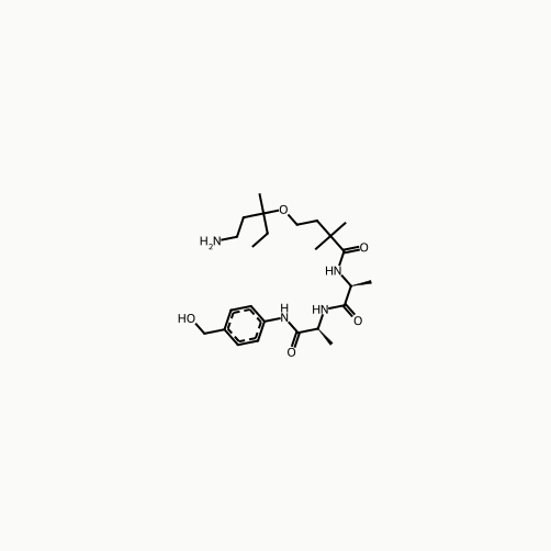 CCC(C)(CCN)OCCC(C)(C)C(=O)N[C@@H](C)C(=O)N[C@@H](C)C(=O)Nc1ccc(CO)cc1